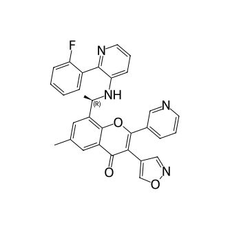 Cc1cc([C@@H](C)Nc2cccnc2-c2ccccc2F)c2oc(-c3cccnc3)c(-c3cnoc3)c(=O)c2c1